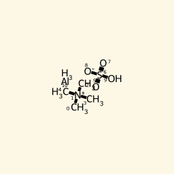 C[N+](C)(C)C.O=S(=O)([O-])O.[AlH3]